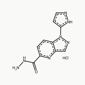 Cl.NNC(=O)c1ccc2c(cnn2-c2ccn[nH]2)n1